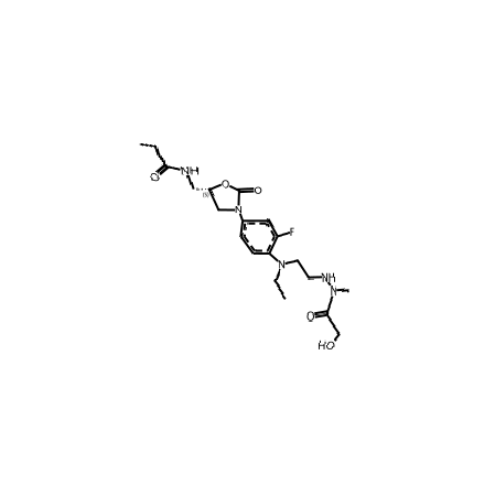 CCC(=O)NC[C@H]1CN(c2ccc(N(CC)CCNN(C)C(=O)CO)c(F)c2)C(=O)O1